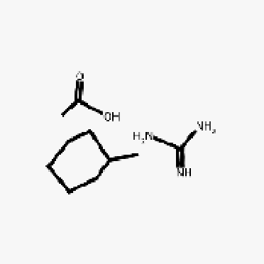 CC(=O)O.CC1CCCCC1.N=C(N)N